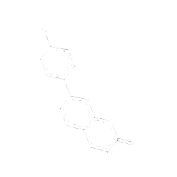 O=c1ccc2ccc(-c3ccc(Br)cc3)cc2o1